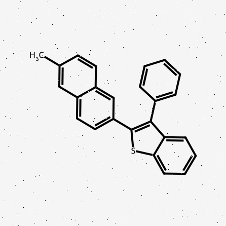 Cc1ccc2cc(-c3sc4ccccc4c3-c3ccccc3)ccc2c1